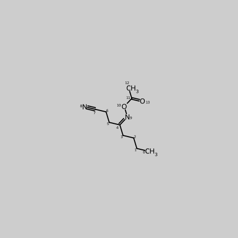 CCCCC(CCC#N)=NOC(C)=O